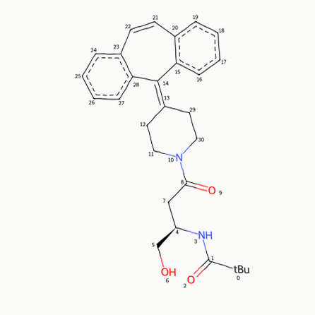 CC(C)(C)C(=O)N[C@@H](CO)CC(=O)N1CCC(=C2c3ccccc3C=Cc3ccccc32)CC1